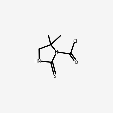 CC1(C)CNC(=S)N1C(=O)Cl